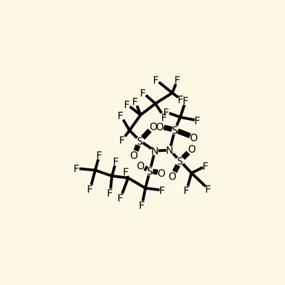 O=S(=O)(N(N(S(=O)(=O)C(F)(F)C(F)(F)C(F)(F)C(F)(F)F)S(=O)(=O)C(F)(F)C(F)(F)C(F)(F)C(F)(F)F)S(=O)(=O)C(F)(F)F)C(F)(F)F